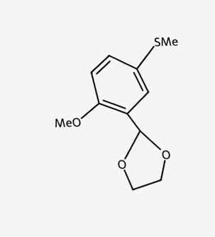 COc1ccc(SC)cc1C1OCCO1